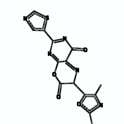 Cc1nc(C)c(C2N=C3C(=O)N=C(c4cncs4)N=C3OC2=O)o1